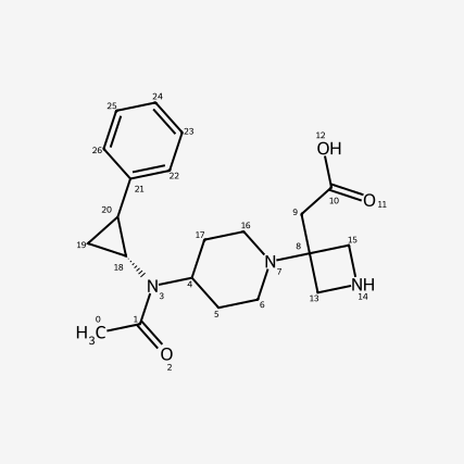 CC(=O)N(C1CCN(C2(CC(=O)O)CNC2)CC1)[C@@H]1CC1c1ccccc1